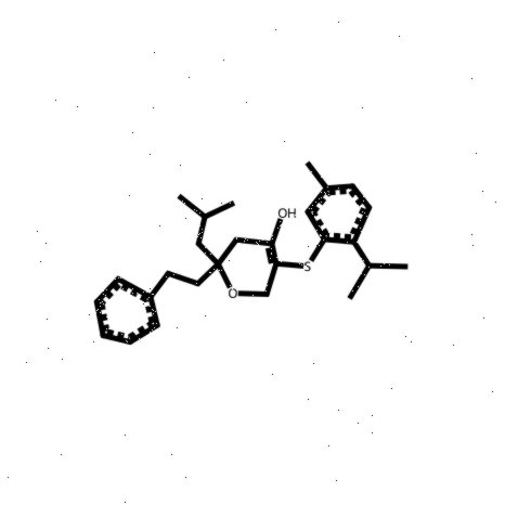 Cc1ccc(C(C)C)c(SC2=C(O)CC(CCc3ccccc3)(CC(C)C)OC2)c1